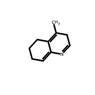 CC1=C2CCCC=C2N=CC1